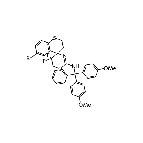 COc1ccc(C(NC2=N[C@@]3(CCSc4ccc(Br)cc43)C(F)(F)CO2)(c2ccccc2)c2ccc(OC)cc2)cc1